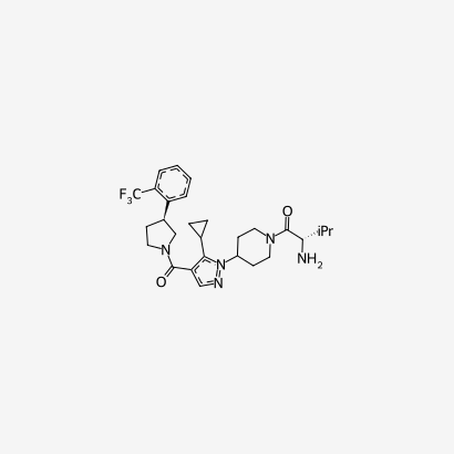 CC(C)[C@H](N)C(=O)N1CCC(n2ncc(C(=O)N3CC[C@@H](c4ccccc4C(F)(F)F)C3)c2C2CC2)CC1